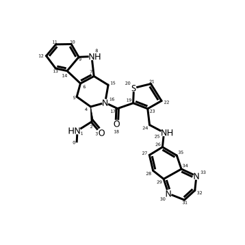 CNC(=O)[C@H]1Cc2c([nH]c3ccccc23)CN1C(=O)c1sccc1CNc1ccc2nccnc2c1